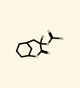 CCC(C)C(=O)OC1(CC)CC2CCCC(C2)OC1=O